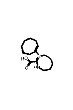 O=C(O)C1=S(C2=CCCCCCC2)CCCCCN1